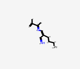 C=C(C)/C(C)=N/C=C(\C=N)CCCC(C)C